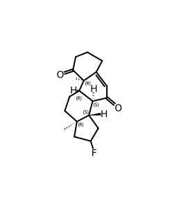 C[C@]12CC[C@@H]3[C@@H](C(=O)C=C4CCCC(=O)[C@@]43C)[C@@H]1CC(F)C2